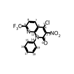 O=c1c([N+](=O)[O-])c(Cl)c2ccc(C(F)(F)F)nc2n1-c1ccccc1